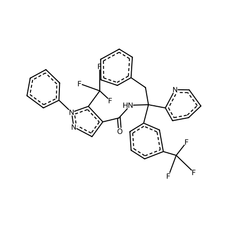 O=C(NC(Cc1ccccc1)(c1cccc(C(F)(F)F)c1)c1ccccn1)c1cnn(-c2ccccc2)c1C(F)(F)F